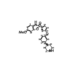 COc1ccc(NS(=O)(=O)c2ccc(Oc3cccc(N4CCNCC4)c3)s2)cc1